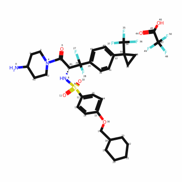 NC1CCN(C(=O)[C@@H](NS(=O)(=O)c2ccc(OCC3CCCCC3)cc2)C(F)(F)c2ccc(C3(C(F)(F)F)CC3)cc2)CC1.O=C(O)C(F)(F)F